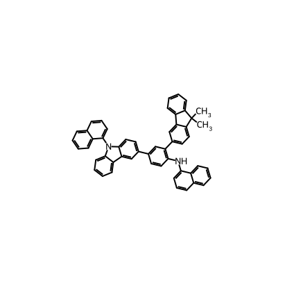 CC1(C)c2ccccc2-c2cc(-c3cc(-c4ccc5c(c4)c4ccccc4n5-c4cccc5ccccc45)ccc3Nc3cccc4ccccc34)ccc21